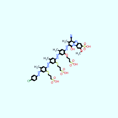 COc1cc2c(cc1S(=O)(=O)O)nc1c(C#N)c(C)c(N=Nc3cc(C)c(N=Nc4cc(C)c(N=Nc5cc(C)c(N=Nc6ccc(Cl)cc6)cc5SCCCS(=O)(=O)O)cc4SCCCS(=O)(=O)O)cc3OCCCS(=O)(=O)O)c(O)n12